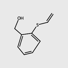 C=CSc1ccccc1CO